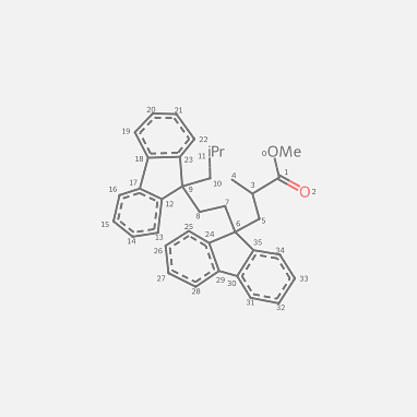 COC(=O)C(C)CC1(CCC2(CC(C)C)c3ccccc3-c3ccccc32)c2ccccc2-c2ccccc21